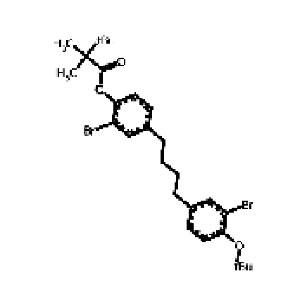 CC(C)(C)Oc1ccc(CCCCc2ccc(OC(=O)C(C)(C)C(C)(C)C)c(Br)c2)cc1Br